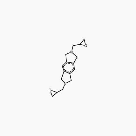 c1c2c(cc3c1CN(CC1CO1)C3)CN(CC1CO1)C2